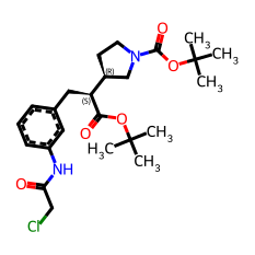 CC(C)(C)OC(=O)[C@@H](Cc1cccc(NC(=O)CCl)c1)[C@H]1CCN(C(=O)OC(C)(C)C)C1